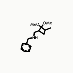 COC1(OC)C(C)CC1CNCc1ccccc1